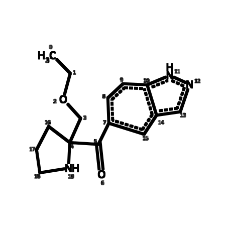 CCOCC1(C(=O)c2ccc3[nH]ncc3c2)CCCN1